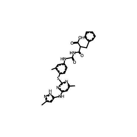 Cc1cc(Nc2cc(C)nc(Sc3ccc(NC(=O)NC(=O)C(Cc4ccccc4)C(=O)O)cc3C)n2)[nH]n1